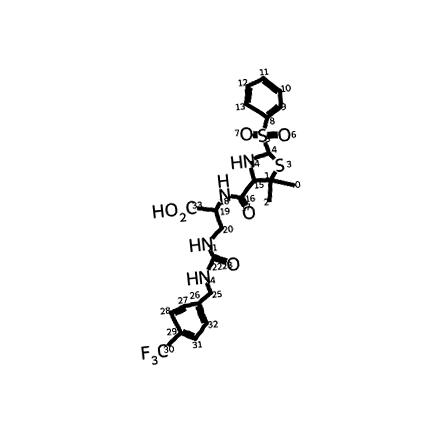 CC1(C)SC(S(=O)(=O)c2ccccc2)NC1C(=O)NC(CNC(=O)NCc1ccc(C(F)(F)F)cc1)C(=O)O